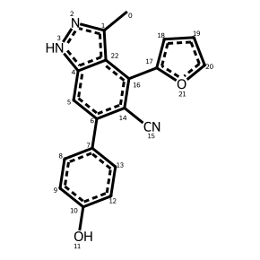 Cc1n[nH]c2cc(-c3ccc(O)cc3)c(C#N)c(-c3ccco3)c12